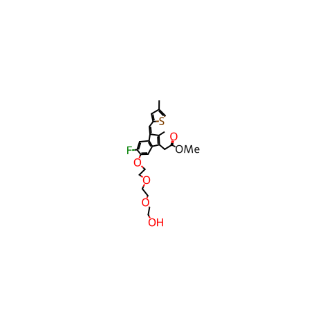 COC(=O)CC1=C(C)C(=Cc2cc(C)cs2)c2cc(F)c(OCCOCCOCCO)cc21